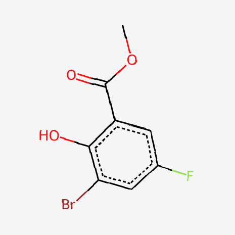 COC(=O)c1cc(F)cc(Br)c1O